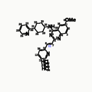 COc1ccc2nc(/C=C/c3ccccn3)nc(NC3CCC(c4ccccn4)CC3)c2c1.Cl.Cl.Cl